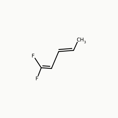 CC=CC=C(F)F